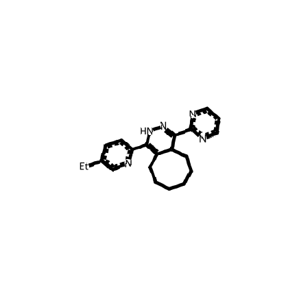 CCc1ccc(C2=C3CCCCCCC3C(c3ncccn3)=NN2)nc1